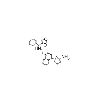 Nc1cccc(-c2ccc(CCNC(C3=COCO3)c3ccccc3)c3ccccc23)n1